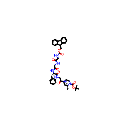 CC(C)(C)OC(=O)N1CC2CC[C@@H]1CN2C(=O)CNC(=O)[C@H](Cc1ccccc1)NC(=O)CNC(=O)CNC(=O)OCC1c2ccccc2-c2ccccc21